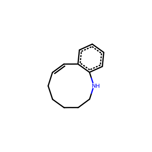 C1=Cc2ccccc2NCCCCC1